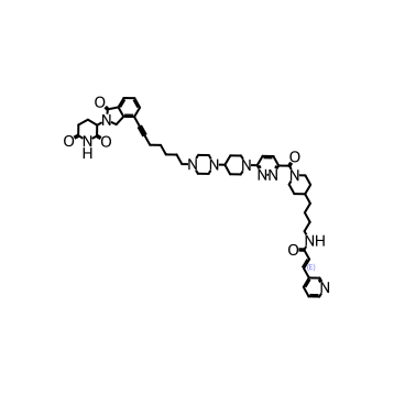 O=C(/C=C/c1cccnc1)NCCCCC1CCN(C(=O)c2ccc(N3CCC(N4CCN(CCCCCC#Cc5cccc6c5CN(C5CCC(=O)NC5=O)C6=O)CC4)CC3)nn2)CC1